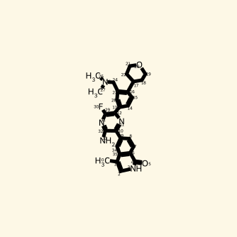 Cc1c[nH]c(=O)c2ccc(-c3nc(-c4ccc(C5CCOCC5)c(CN(C)C)c4)c(F)nc3N)cc12